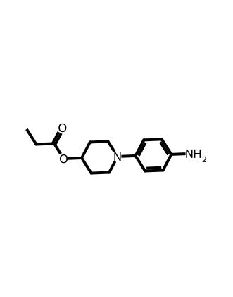 CCC(=O)OC1CCN(c2ccc(N)cc2)CC1